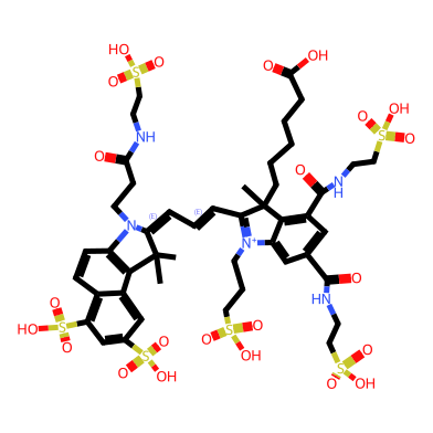 CC1(CCCCCC(=O)O)C(/C=C/C=C2/N(CCC(=O)NCCS(=O)(=O)O)c3ccc4c(S(=O)(=O)O)cc(S(=O)(=O)O)cc4c3C2(C)C)=[N+](CCCS(=O)(=O)O)c2cc(C(=O)NCCS(=O)(=O)O)cc(C(=O)NCCS(=O)(=O)O)c21